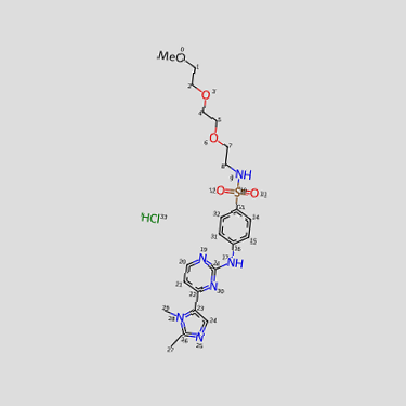 COCCOCCOCCNS(=O)(=O)c1ccc(Nc2nccc(-c3cnc(C)n3C)n2)cc1.Cl